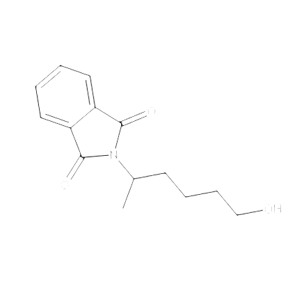 CC(CCCCO)N1C(=O)c2ccccc2C1=O